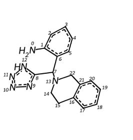 Nc1ccccc1C(c1nnn[nH]1)N1CCc2ccccc2C1